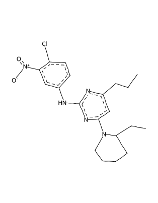 CCCc1cc(N2CCCCC2CC)nc(Nc2ccc(Cl)c([N+](=O)[O-])c2)n1